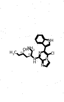 CC[C@H](O)C[C@@H](CN)Nc1nc(-c2c[nH]c3ccccc23)c(Cl)n2ccnc12